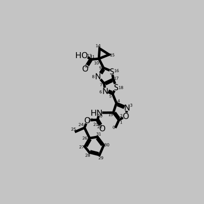 Cc1onc(-c2nc3nc(C4(C(=O)O)CC4)sc3s2)c1NC(=O)OC(C)c1ccccc1